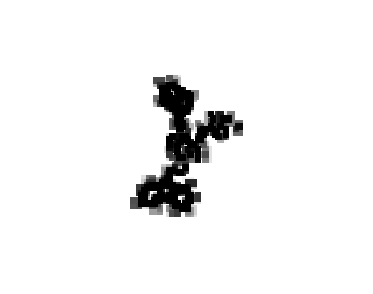 NC(=O)CC[C@H](NC(=O)OCC1c2ccccc2-c2ccccc21)C(=O)OCC1C2CC3CC(C2)CC1C3